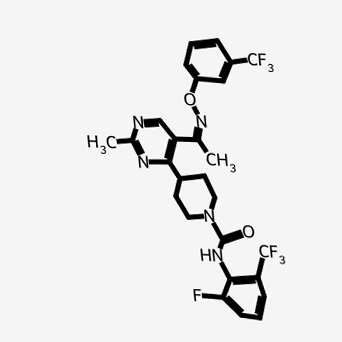 CC(=NOc1cccc(C(F)(F)F)c1)c1cnc(C)nc1C1CCN(C(=O)Nc2c(F)cccc2C(F)(F)F)CC1